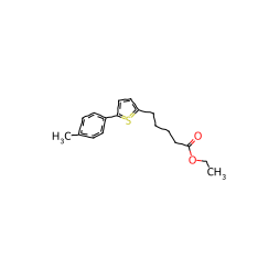 CCOC(=O)CCCCc1ccc(-c2ccc(C)cc2)s1